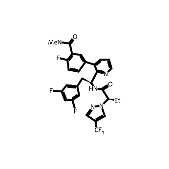 CC[C@H](C(=O)N[C@@H](Cc1cc(F)cc(F)c1)c1ncccc1-c1ccc(F)c(C(=O)NC)c1)n1cc(C(F)(F)F)cn1